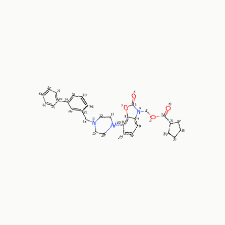 O=C(OCn1c(=O)oc2c(N3CCN(Cc4cccc(-c5ccccc5)c4)CC3)cccc21)C1CCCC1